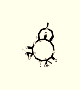 C[C@@H]1C[C@]2(O[C@@H]2C)C(=O)O[C@@H]2CCN(C)C/C=C(/COC(=O)[C@]1(C)O)C2=O